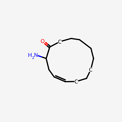 NC1C/C=C\CCCCCCCCC1=O